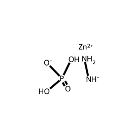 O=P([O-])(O)O.[NH-]N.[Zn+2]